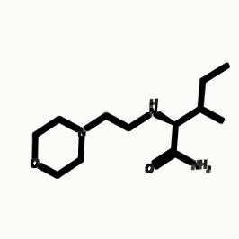 CCC(C)[C@H](NCCN1CCOCC1)C(N)=O